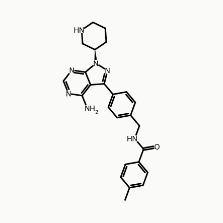 Cc1ccc(C(=O)NCc2ccc(-c3nn([C@@H]4CCCNC4)c4ncnc(N)c34)cc2)cc1